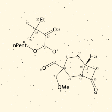 CCCCCOC(OC(=O)C1(COC)CS[C@@H]2CC(=O)N2C1)C(=O)C(C)(C)CC